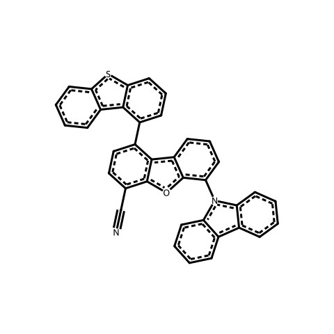 N#Cc1ccc(-c2cccc3sc4ccccc4c23)c2c1oc1c(-n3c4ccccc4c4ccccc43)cccc12